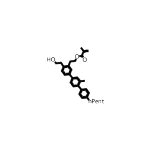 C=C(C)C(=O)OCCc1cc(-c2ccc(-c3ccc(CCCCC)cc3)c(C)c2)ccc1CCO